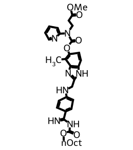 CCCCCCCCOC(=O)NC(=N)c1ccc(NCc2nc3c(C)c(OC(=O)N(CCC(=O)OC)c4ccccn4)ccc3[nH]2)cc1